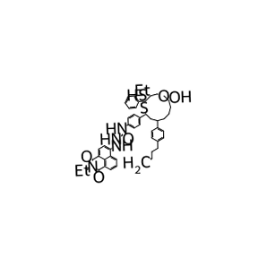 C=CCCc1ccc(C2CCCC(O)OCC(CC)C(S)(c3ccccc3)SC(c3ccc(NC(=O)NNc4ccc5c6c(cccc46)C(=O)N(CC)C5=O)cc3)C2)cc1